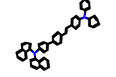 C(=C\c1ccc(N(c2ccccc2)c2ccccc2)cc1)/c1ccc(-c2ccc(N(c3cccc4ccccc34)c3cccc4ccccc34)cc2)cc1